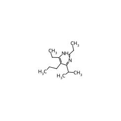 CCC/N=C(\C(CCC)=C(/N)CC)C(C)C